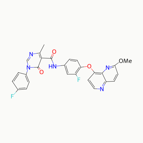 COc1ccc2nccc(Oc3ccc(NC(=O)c4c(C)ncn(-c5ccc(F)cc5)c4=O)cc3F)c2n1